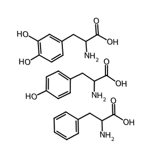 NC(Cc1ccc(O)c(O)c1)C(=O)O.NC(Cc1ccc(O)cc1)C(=O)O.NC(Cc1ccccc1)C(=O)O